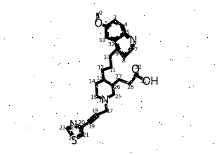 COc1ccc2nccc(CCCC3CCN(CC#Cc4cscn4)CC3CCC(=O)O)c2c1